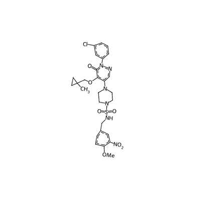 COc1ccc(CNS(=O)(=O)N2CCN(c3cnn(-c4cccc(Cl)c4)c(=O)c3OCC3(C)CC3)CC2)cc1[N+](=O)[O-]